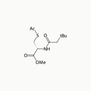 COC(=O)[C@H](CSC(C)=O)NC(=O)CC(C)(C)C